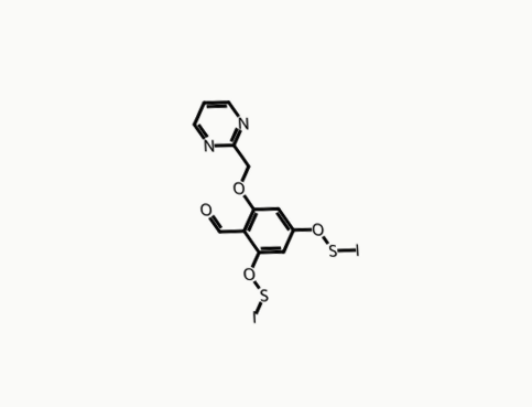 O=Cc1c(OCc2ncccn2)cc(OSI)cc1OSI